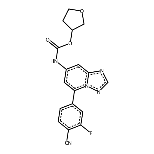 N#Cc1ccc(-c2cc(NC(=O)OC3CCOC3)cc3ncnn23)cc1F